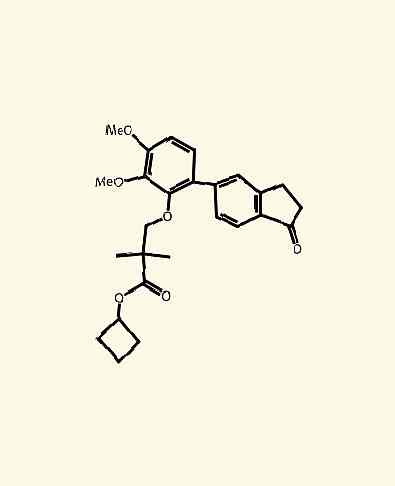 COc1ccc(-c2ccc3c(c2)CCC3=O)c(OCC(C)(C)C(=O)OC2CCC2)c1OC